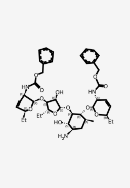 CC[C@H]1C=C[C@@H](NC(=O)OCc2ccccc2)[C@@H](O[C@H]2[C@@H](O)[C@H](O[C@@H]3[C@@H](O)[C@H](N)C[C@H](C)[C@H]3O[C@H]3O[C@H](CC)C=C[C@H]3NC(=O)OCc3ccccc3)O[C@@H]2CC)O1